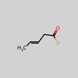 CC=CCC(=O)[S]